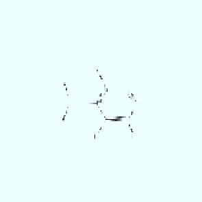 CN(C)c1c(F)nnc(F)c1F